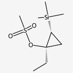 CC[C@@]1(OS(C)(=O)=O)C[C@H]1[Si](C)(C)C